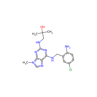 Cn1cnc2c(NCc3cc(Cl)ccc3N)nc(NCC(C)(C)O)nc21